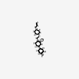 C=CC[C@H]1CC[C@H](CC[C@@H]2CC[C@@H](c3ccc(F)cc3)CC2=O)CC1